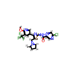 COc1ncc(-c2nc(NC(=O)c3cnc(Cl)cn3)sc2CN2CCC[C@H]2C)cc1C(F)(F)F